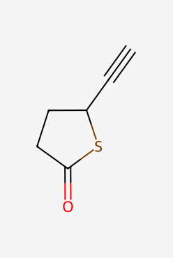 C#CC1CCC(=O)S1